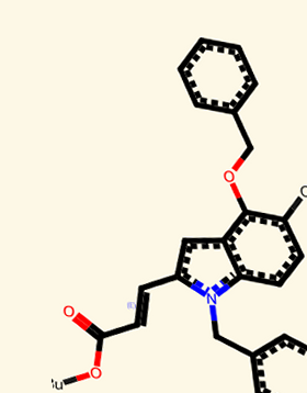 COc1ccc2c(cc(/C=C/C(=O)OC(C)(C)C)n2Cc2ccccc2)c1OCc1ccccc1